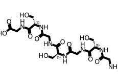 NCC(=O)N[C@@H](CO)C(=O)NCC(=O)N[C@@H](CO)C(=O)NCC(=O)N[C@@H](CO)C(=O)NCC(=O)O